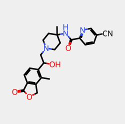 Cc1c(C(O)CN2CCC(C)(NC(=O)c3ccc(C#N)cn3)CC2)ccc2c1COC2=O